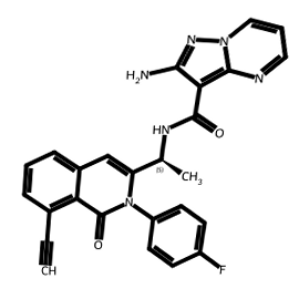 C#Cc1cccc2cc([C@H](C)NC(=O)c3c(N)nn4cccnc34)n(-c3ccc(F)cc3)c(=O)c12